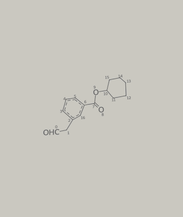 O=CCc1cccc(C(=O)OC2CCCCC2)c1